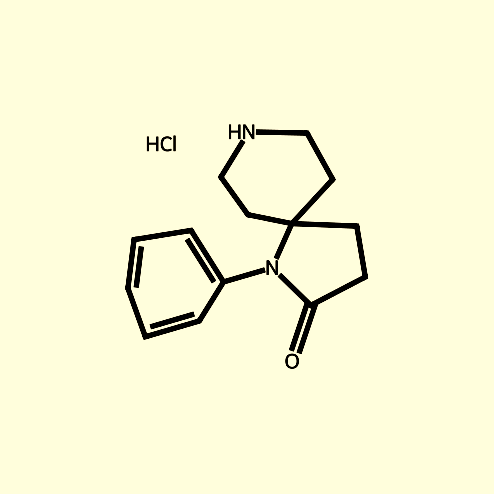 Cl.O=C1CCC2(CCNCC2)N1c1ccccc1